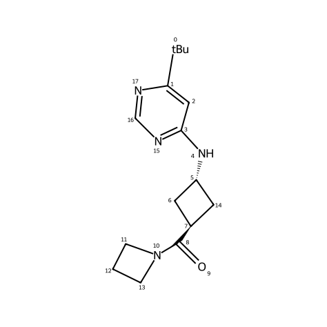 CC(C)(C)c1cc(N[C@H]2C[C@H](C(=O)N3CCC3)C2)ncn1